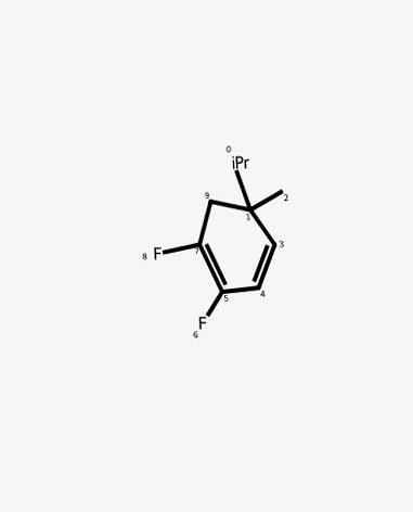 CC(C)C1(C)C=CC(F)=C(F)C1